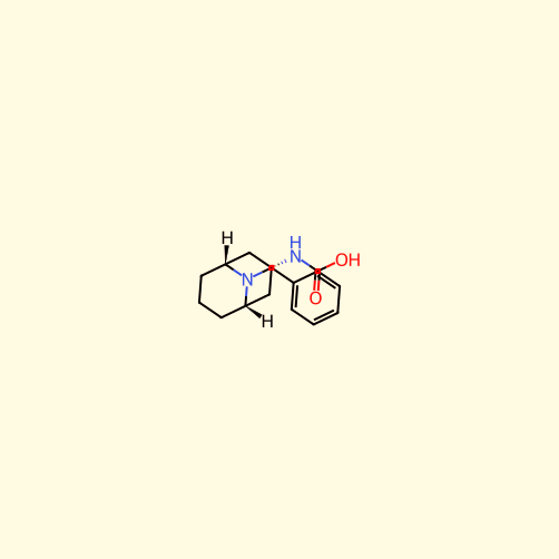 O=C(O)N[C@H]1C[C@H]2CCC[C@@H](C1)N2Cc1ccccc1